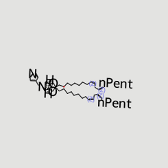 CCCCC/C=C\C/C=C\CCCCCCCCC1(CCCCCCCC/C=C\C/C=C\CCCCC)O[C@H]2CN(Cc3ccncc3)C[C@@H]2O1